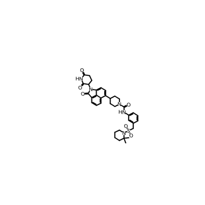 CC1(C)CCCCN1S(=O)(=O)Cc1cccc(NC(=O)N2CCC(c3ccc4c5c(cccc35)C(=O)N4C3CCC(=O)NC3=O)CC2)c1